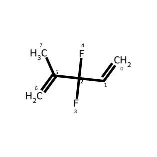 C=CC(F)(F)C(=C)C